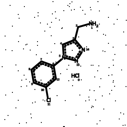 Cl.NCc1cn(-c2cccc(Cl)c2)nn1